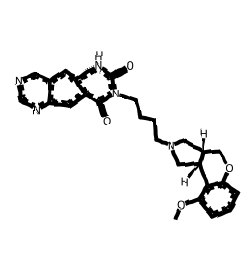 COc1cccc2c1[C@@H]1CN(CCCCn3c(=O)[nH]c4cc5cncnc5cc4c3=O)C[C@@H]1CO2